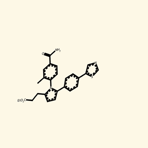 CCOC(=O)CCc1ccc(-c2ccc(-c3cncs3)cc2)n1-c1ccc(C(N)=O)cc1C